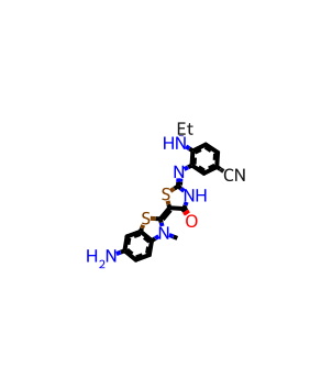 CCNc1ccc(C#N)cc1N=C1NC(=O)C(=C2Sc3cc(N)ccc3N2C)S1